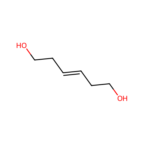 OCCC=CCCO